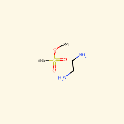 CCCCS(=O)(=O)OCCC.NCCN